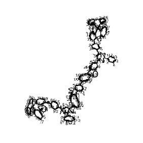 c1ccc(-c2nc(-c3ccc(-c4cccc5c4Oc4ccccc4C54c5ccccc5-c5ccccc54)cc3)cc(-c3ccc4c(c3)oc3cc(-c5ccc6c(c5)sc5cc(-c7cc(-c8ccc(-c9cccc%10c9Oc9ccccc9C%109c%10ccccc%10-c%10ccccc%109)cc8)nc(-c8ccccc8)n7)ccc56)ccc34)n2)cc1